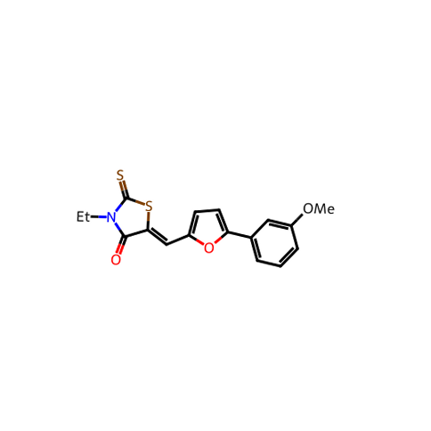 CCN1C(=O)C(=Cc2ccc(-c3cccc(OC)c3)o2)SC1=S